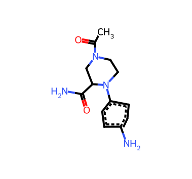 CC(=O)N1CCN(c2ccc(N)cc2)C(C(N)=O)C1